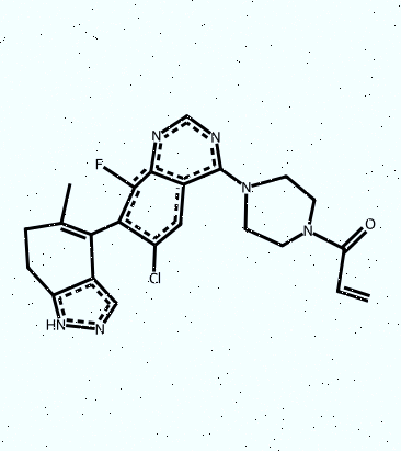 C=CC(=O)N1CCN(c2ncnc3c(F)c(C4=C(C)CCc5[nH]ncc54)c(Cl)cc23)CC1